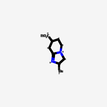 CCOC(=O)C1CCN2CC(C(C)(C)C)N=C2C1